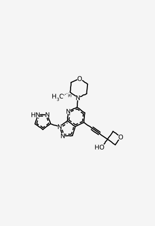 C[C@@H]1COCCN1c1cc(C#CC2(O)COC2)c2cnn(-c3cc[nH]n3)c2n1